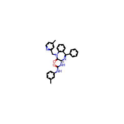 Cc1cccc(NC(=O)N[C@@H]2N=C(c3ccccc3)c3ccccc3N(Cc3cc(C)ccn3)C2=O)c1